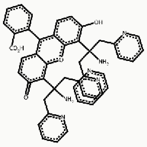 NC(Cc1ccccn1)(Cc1ccccn1)c1c2oc3c(C(N)(Cc4ccccn4)Cc4ccccn4)c(O)ccc3c(-c3ccccc3C(=O)O)c-2ccc1=O